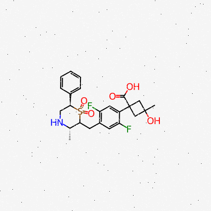 C[C@@H]1NC[C@@H](c2ccccc2)S(=O)(=O)C1Cc1cc(F)c(C2(C(=O)O)CC(C)(O)C2)cc1F